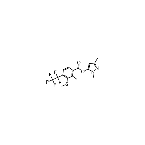 CSc1c(C(F)(F)C(F)(F)F)ccc(C(=O)Oc2cc(C)nn2C)c1C